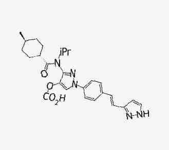 CC(C)N(c1nn(-c2ccc(/C=C/c3cc[nH]n3)cc2)cc1OC(=O)O)C(=O)[C@H]1CC[C@H](C)CC1